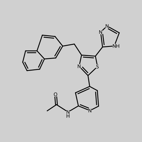 CC(=O)Nc1cc(-c2nc(Cc3ccc4ccccc4c3)c(-c3nnc[nH]3)s2)ccn1